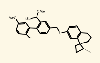 COc1ccc(F)c(-c2ccc(COc3ccc4c(c3)[C@@]3(CCC4)CC[C@H]3C)cc2[C@H](OC)C(C)(C)C)c1